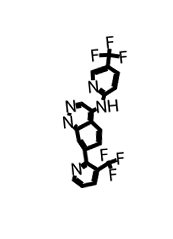 FC(F)(F)c1ccc(Nc2cnnc3cc(-c4ncccc4C(F)(F)F)ccc23)nc1